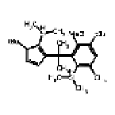 COc1c(C(C)(C)C)cc(C)c([SiH](C)C)c1C(C)(C)C1=C([SiH](C)C)C(C(C)(C)C)C=C1